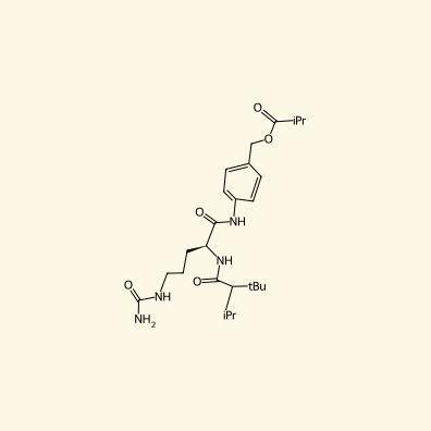 CC(C)C(=O)OCc1ccc(NC(=O)[C@H](CCCNC(N)=O)NC(=O)C(C(C)C)C(C)(C)C)cc1